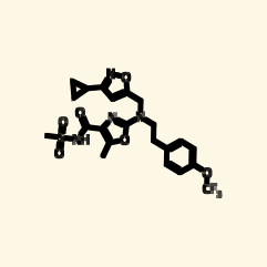 Cc1oc(N(CCc2ccc(OC(F)(F)F)cc2)Cc2cc(C3CC3)no2)nc1C(=O)NS(C)(=O)=O